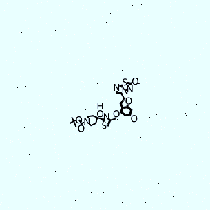 COc1cc(OCc2csc(C3(O)CCN(C(=O)OC(C)(C)C)CC3)n2)c2cc(-c3cnc4sc(OC)nn34)oc2c1